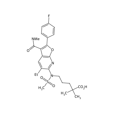 CCc1cc2c(C(=O)NC)c(-c3ccc(F)cc3)oc2nc1N(CCCC(C)(C)C(=O)O)S(C)(=O)=O